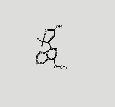 COc1ccc(C(=CC(=O)O)C(F)(F)F)c2ccccc12